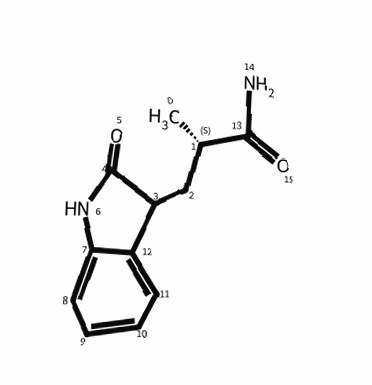 C[C@@H](CC1C(=O)Nc2ccccc21)C(N)=O